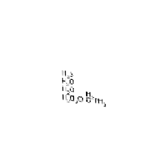 O.O.O.O.O.P.S